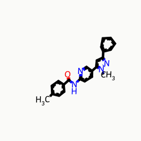 Cc1ccc(C(=O)Nc2ccc(-c3cc(-c4ccccc4)nn3C)cn2)cc1